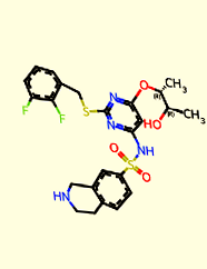 C[C@@H](O)[C@@H](C)Oc1cc(NS(=O)(=O)c2ccc3c(c2)CNCC3)nc(SCc2cccc(F)c2F)n1